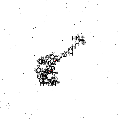 CN[C@H](CCCCNCCCOCCOCC(=O)O[C@@H](C(=O)O[C@H]1C[C@@]2(O)[C@@H](OC(=O)c3ccccc3)[C@@H]3[C@]4(OC(C)=O)CO[C@@H]4C[C@H](O)[C@@]3(C)C(=O)[C@H](OC(C)=O)C(=C1C)C2(C)C)[C@@H](NC(=O)c1ccccc1)c1ccccc1)C(C)=O